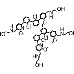 COc1cc(-c2cc(COc3cc(CNCCO)ccc3-c3cccc(-c4cccc(-c5ccc(CNCCO)c(OC)n5)c4Cl)c3Cl)cc(-c3cccc(-c4ccc(CNCCO)c(OC)n4)c3Cl)c2Cl)ccc1CNCCO